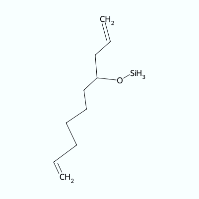 C=CCCCCC(CC=C)O[SiH3]